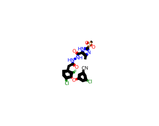 Cc1nc(S(C)(=O)=O)[nH]c1C(=O)NNC(=O)Cc1ccc(Cl)c(Oc2cc(Cl)cc(C#N)c2)c1F